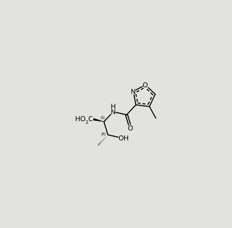 Cc1conc1C(=O)N[C@H](C(=O)O)[C@@H](C)O